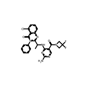 CC(Nc1nc(N)ncc1C(=O)N1CC(F)(F)C1)c1nc2cccc(Cl)c2c(=O)n1-c1ccccc1